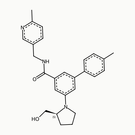 Cc1ccc(-c2cc(C(=O)NCc3ccc(C)nc3)cc(N3CCC[C@H]3CO)c2)cc1